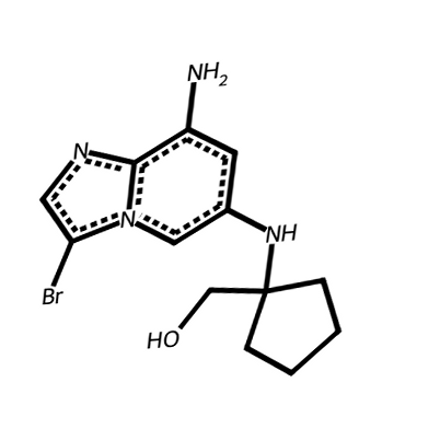 Nc1cc(NC2(CO)CCCC2)cn2c(Br)cnc12